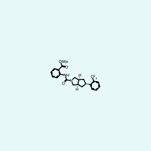 COC(=O)c1ccccc1NC(=O)N1C[C@H]2C[C@@H](c3ccccc3C(F)(F)F)C[C@H]2C1